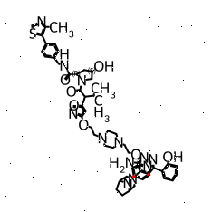 Cc1ncsc1-c1ccc(CNC(=O)[C@H]2C[C@H](O)CN2C(=O)C(c2cc(OCCN3CCN(CCOc4cc(N5C6CCC5CN(c5cc(-c7ccccc7O)nnc5N)C6)ccn4)CC3)no2)C(C)C)cc1